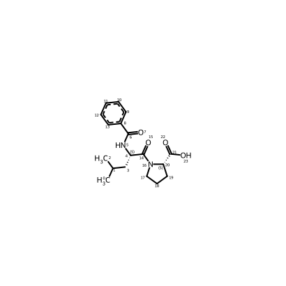 CC(C)C[C@H](NC(=O)c1ccccc1)C(=O)N1CCC[C@H]1C(=O)O